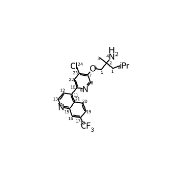 CC(C)CC(C)(N)COc1cnc(-c2ccnc3cc(C(F)(F)F)ccc23)cc1Cl